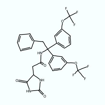 O=C(CC1NC(=O)NC1=O)NC(Cc1ccccc1)(c1cccc(OC(F)(F)F)c1)c1cccc(OC(F)(F)F)c1